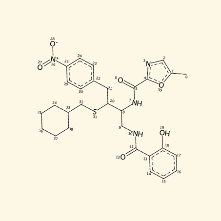 Cc1cnc(C(=O)NC(CNC(=O)c2ccccc2O)C(Cc2ccc([N+](=O)[O-])cc2)SCC2CCCCC2)o1